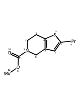 CC(C)c1cc2c(s1)CCN(C(=O)OC(C)(C)C)C2